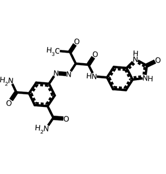 CC(=O)C(N=Nc1cc(C(N)=O)cc(C(N)=O)c1)C(=O)Nc1ccc2[nH]c(=O)[nH]c2c1